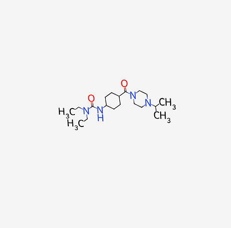 CCN(CC)C(=O)NC1CCC(C(=O)N2CCN(C(C)C)CC2)CC1